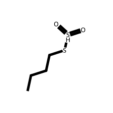 CCCCS[SH](=O)=O